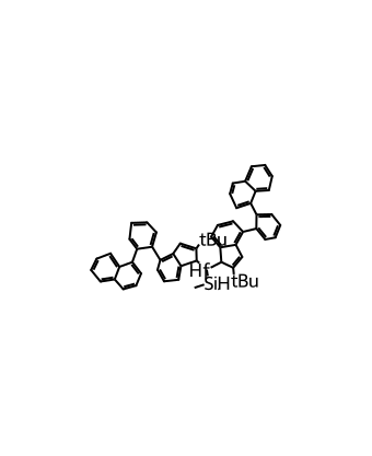 C[SiH](C)[Hf]([CH]1C(C(C)(C)C)=Cc2c(-c3ccccc3-c3cccc4ccccc34)cccc21)[CH]1C(C(C)(C)C)=Cc2c(-c3ccccc3-c3cccc4ccccc34)cccc21